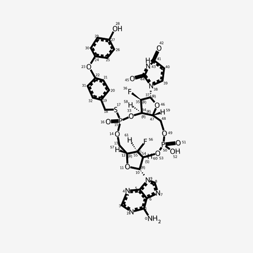 Nc1ncnc2c1ncn2[C@@H]1O[C@@H]2COP(=O)(SCc3ccc(Oc4ccc(O)cc4)cc3)O[C@H]3[C@@H](F)[C@H](n4ccc(=O)[nH]c4=O)O[C@@H]3COP(=O)(O)O[C@@H]1[C@@H]2F